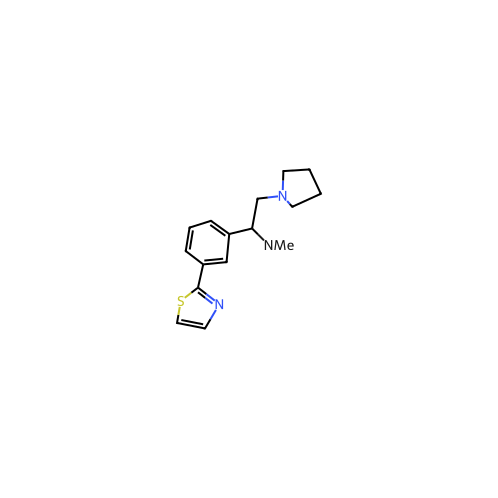 CNC(CN1CCCC1)c1cccc(-c2nccs2)c1